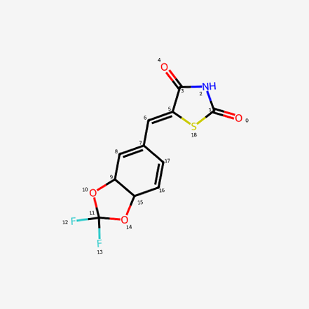 O=C1NC(=O)/C(=C/C2=CC3OC(F)(F)OC3C=C2)S1